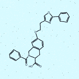 O=C(O)C1Cc2ccc(OCCc3coc(-c4ccccc4)n3)cc2CN1C(=O)c1ccccc1